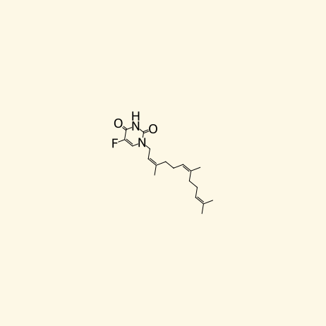 CC(C)=CCCC(C)=CCCC(C)=CCn1cc(F)c(=O)[nH]c1=O